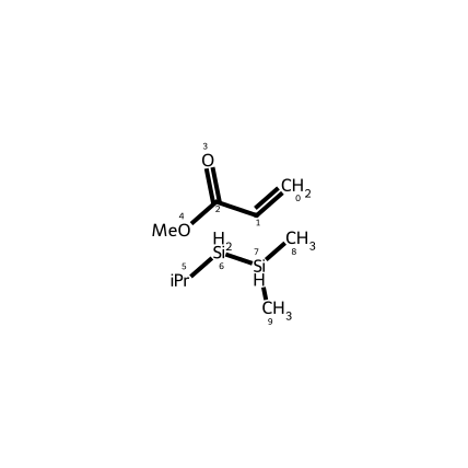 C=CC(=O)OC.CC(C)[SiH2][SiH](C)C